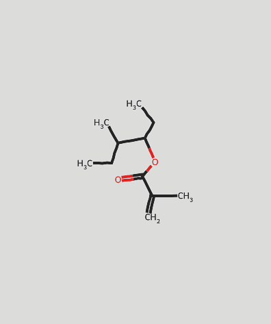 C=C(C)C(=O)OC(CC)C(C)CC